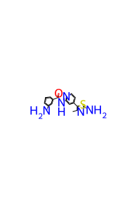 Cc1nc(N)sc1-c1ccnc(NC(=O)c2cccc(N)c2)c1